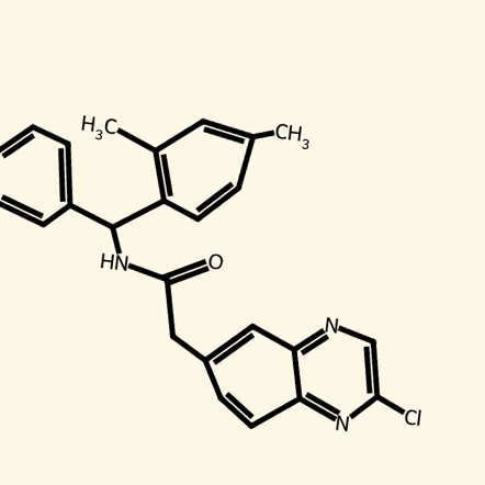 Cc1ccc(C(NC(=O)Cc2ccc3nc(Cl)cnc3c2)c2ccccc2)c(C)c1